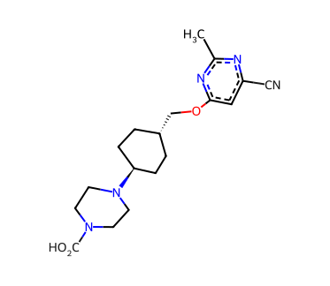 Cc1nc(C#N)cc(OC[C@H]2CC[C@H](N3CCN(C(=O)O)CC3)CC2)n1